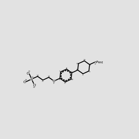 CCCCCC1CCC(c2ccc(OCCC[Si](Cl)(Cl)Cl)cc2)CC1